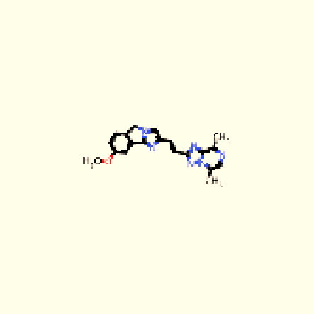 COc1ccc2c(c1)-c1nc(C=Cc3nc4c(C)ncc(C)n4n3)cn1C2